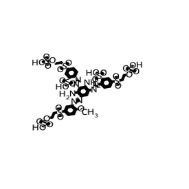 COc1ccc(S(=O)(=O)CCOS(=O)(=O)O)cc1/N=N/c1cc(/N=N/c2ccc(S(=O)(=O)CCOS(=O)(=O)O)cc2S(=O)(=O)O)c(N)c(/N=N/c2ccc(S(=O)(=O)CCOS(=O)(=O)O)cc2S(=O)(=O)O)c1N